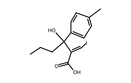 CCCC(O)(/C(=C\I)C(=O)O)c1ccc(C)cc1